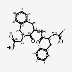 CC(=O)SC(Cc1ccccc1)C(=O)NC1Cc2ccccc2CN(CC(=O)O)C1=O